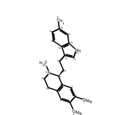 COc1cc2c(cc1OC)[C@H](CCc1c[nH]c3cc(C)ccc13)N(C)CC2